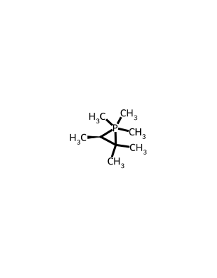 C[C@@H]1C(C)(C)P1(C)(C)C